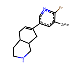 COc1cc(C2=CCC3CCNCC3C2)cnc1Br